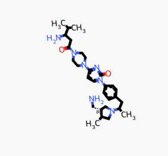 CC(C)C(N)CC(=O)N1CCN(c2ccn(-c3ccc(CC(C)N4CC(C)[C@H](CN)C4)cc3)c(=O)n2)CC1